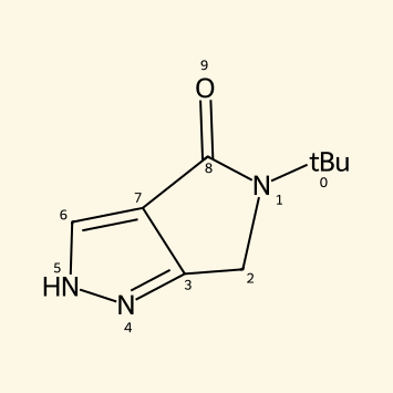 CC(C)(C)N1Cc2n[nH]cc2C1=O